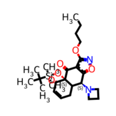 CCCCOc1noc2c1C(=O)[C@@]1(O[Si](C)(C)C(C)(C)C)C(=O)C=CCC1[C@@H]2N1CCC1